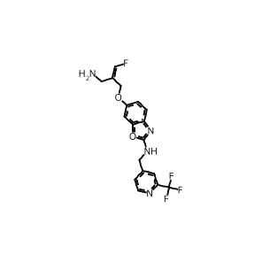 NC/C(=C/F)COc1ccc2nc(NCc3ccnc(C(F)(F)F)c3)oc2c1